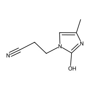 Cc1cn(CCC#N)c(O)n1